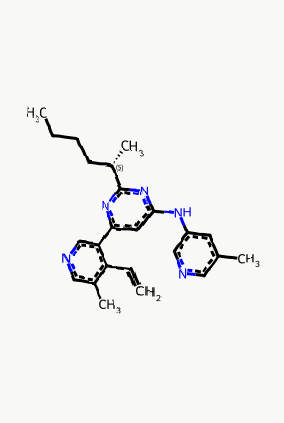 C=Cc1c(C)cncc1-c1cc(Nc2cncc(C)c2)nc([C@@H](C)CCCC)n1